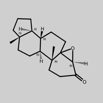 C[C@@]12CCC[C@H]1[C@@H]1CCC34O[C@H]3C(=O)CC[C@]4(C)[C@H]1CC2